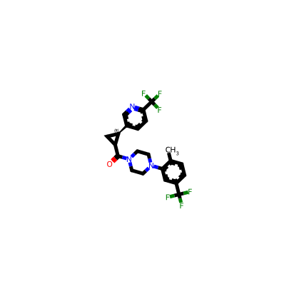 Cc1ccc(C(F)(F)F)cc1N1CCN(C(=O)C2C[C@H]2c2ccc(C(F)(F)F)nc2)CC1